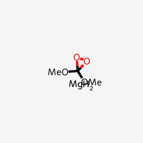 COC1(OC)OO1.[MgH2]